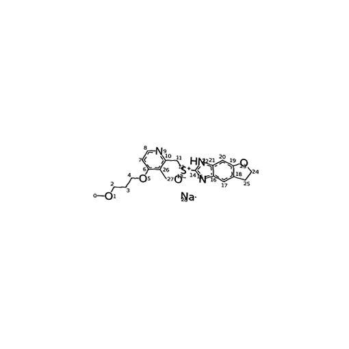 COCCCOc1ccnc(C[S@@+]([O-])c2nc3cc4c(cc3[nH]2)OCC4)c1C.[Na]